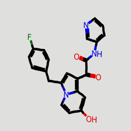 O=C(Nc1cccnc1)C(=O)c1cc(Cc2ccc(F)cc2)n2ccc(O)cc12